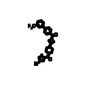 O=C(c1ccc(-c2cccc(C(F)(F)F)c2)cc1)N1CC(N2CCN(C(=O)c3cc(Br)cs3)CC2)C1